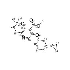 COC(=O)c1c(Oc2cccc(C3CC3)c2)cnc2c1OC(C)(C)CC2